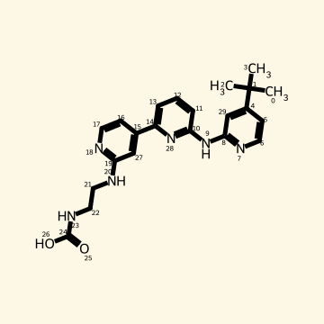 CC(C)(C)c1ccnc(Nc2cccc(-c3ccnc(NCCNC(=O)O)c3)n2)c1